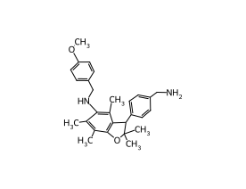 COc1ccc(CNc2c(C)c(C)c3c(c2C)C(c2ccc(CN)cc2)C(C)(C)O3)cc1